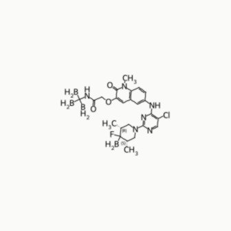 BC(B)(B)NC(=O)COc1cc2cc(Nc3nc(N4C[C@@H](C)C(B)(F)[C@@H](C)C4)ncc3Cl)ccc2n(C)c1=O